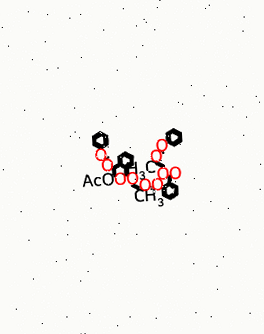 CC(=O)OCC(OCOc1ccccc1)c1ccccc1C(=O)OCC(C)OCOc1ccccc1C(=O)OCC(C)OCOc1ccccc1